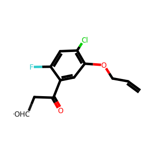 C=CCOc1cc(C(=O)C[C]=O)c(F)cc1Cl